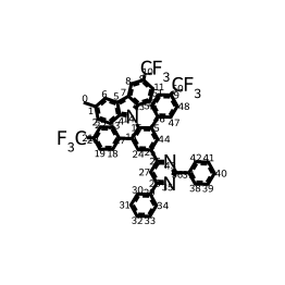 Cc1ccc2c(c1)c1cc(C(F)(F)F)ccc1n2-c1c(-c2ccc(C(F)(F)F)cc2)cc(-c2cc(-c3ccccc3)nc(-c3ccccc3)n2)cc1-c1ccc(C(F)(F)F)cc1